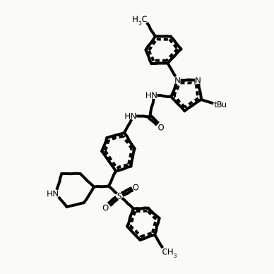 Cc1ccc(-n2nc(C(C)(C)C)cc2NC(=O)Nc2ccc(C(C3CCNCC3)S(=O)(=O)c3ccc(C)cc3)cc2)cc1